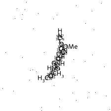 COc1c(OCC2CCNCC2)ccc2c(Oc3ccc(NC(=O)C(=O)NCCc4cc(C)ccc4C)cc3F)ccnc12